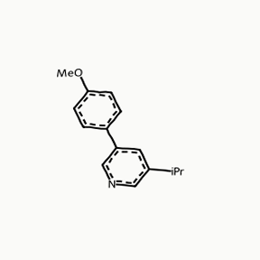 COc1ccc(-c2cncc(C(C)C)c2)cc1